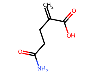 C=C(CCC(N)=O)C(=O)O